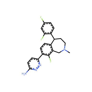 CN1CCC(c2ccc(F)cc2F)c2ccc(-c3ccc(N)nn3)c(F)c2C1